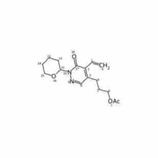 C=Cc1c(CCCOC(C)=O)cnn(C2CCCCO2)c1=O